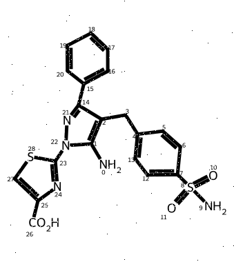 Nc1c(Cc2ccc(S(N)(=O)=O)cc2)c(-c2ccccc2)nn1-c1nc(C(=O)O)cs1